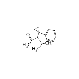 CC(=O)C(C(C)C)C1(c2ccccc2)CC1